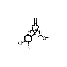 COCC[C@]1(c2ccc(Cl)c(Cl)c2)[C@@H]2CNC[C@@H]21